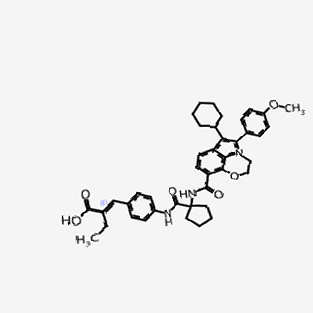 CC/C(=C\c1ccc(NC(=O)C2(NC(=O)c3ccc4c(C5CCCCC5)c(-c5ccc(OC)cc5)n5c4c3OCC5)CCCC2)cc1)C(=O)O